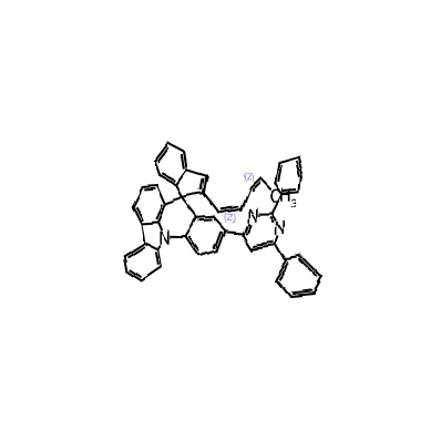 C/C=C\C=C/C1=Cc2ccccc2C12c1cc(-c3cc(-c4ccccc4)nc(-c4ccccc4)n3)ccc1-n1c3ccccc3c3cccc2c31